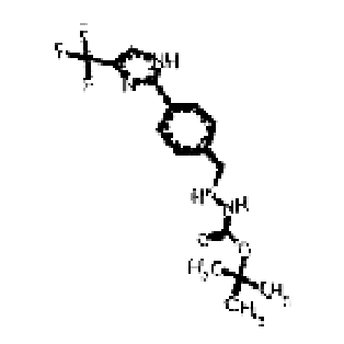 CC(C)(C)OC(=O)NNCc1ccc(-c2nc(C(F)(F)F)c[nH]2)cc1